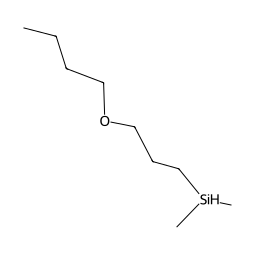 CCCCOCCC[SiH](C)C